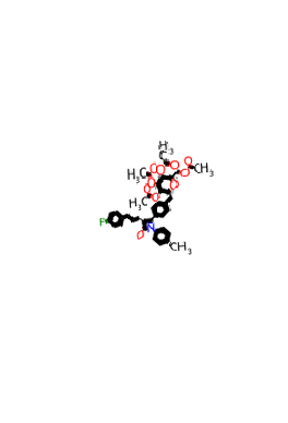 CC(=O)OC[C@H]1O[C@@H](Cc2ccc([C@@H]3[C@@H](CCCc4ccc(F)cc4)C(=O)N3c3ccc(C)cc3)cc2)[C@H](OC(C)=O)[C@@H](OC(C)=O)[C@@H]1OC(C)=O